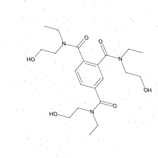 CCN(CCO)C(=O)c1ccc(C(=O)N(CC)CCO)c(C(=O)N(CC)CCO)c1